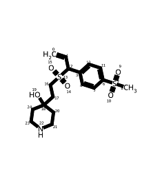 C=CC(c1ccc(S(C)(=O)=O)cc1)S(=O)(=O)CCC1(O)CCNCC1